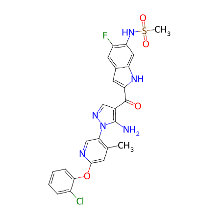 Cc1cc(Oc2ccccc2Cl)ncc1-n1ncc(C(=O)c2cc3cc(F)c(NS(C)(=O)=O)cc3[nH]2)c1N